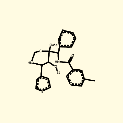 CCOC1C(c2ccncc2)NCCC1(OC)C(NC(=O)c1cncc(C)c1)c1ccccc1